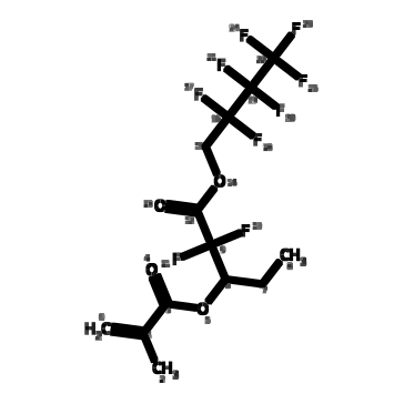 C=C(C)C(=O)OC(CC)C(F)(F)C(=O)OCC(F)(F)C(F)(F)C(F)(F)F